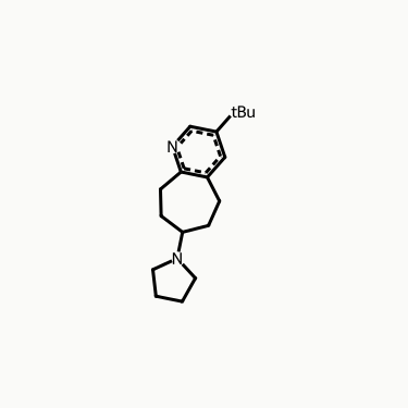 CC(C)(C)c1cnc2c(c1)CCC(N1CCCC1)CC2